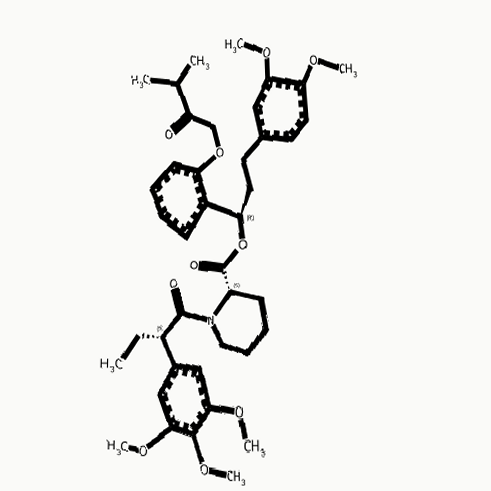 CC[C@H](C(=O)N1CCCC[C@H]1C(=O)O[C@H](CCc1ccc(OC)c(OC)c1)c1ccccc1OCC(=O)C(C)C)c1cc(OC)c(OC)c(OC)c1